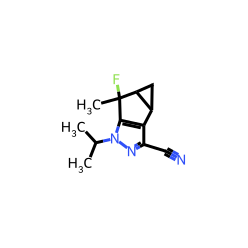 CC(C)n1nc(C#N)c2c1C(C)(F)C1CC21